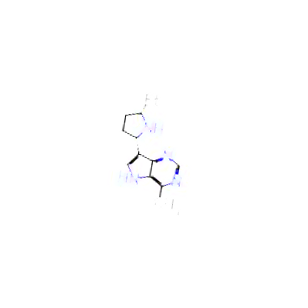 CC[C@@H]1CC[C@H](c2c[nH]c3c(C)ncnc23)N1